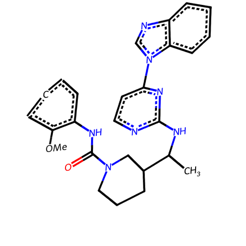 COc1ccccc1NC(=O)N1CCCC(C(C)Nc2nccc(-n3cnc4ccccc43)n2)C1